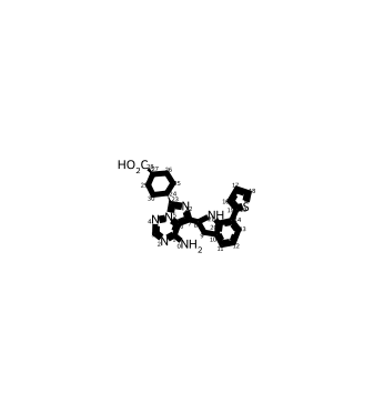 Nc1ncnn2c1c(C1Cc3cccc(-c4cccs4)c3N1)nc2[C@H]1CC[C@H](C(=O)O)CC1